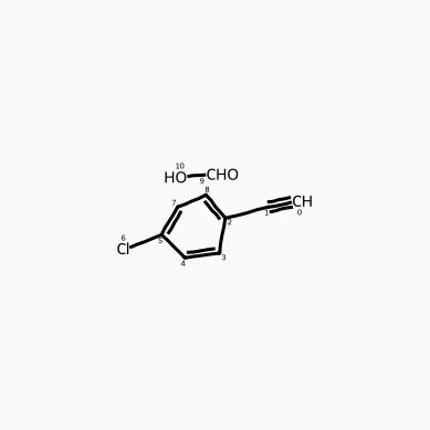 C#Cc1ccc(Cl)cc1.O=CO